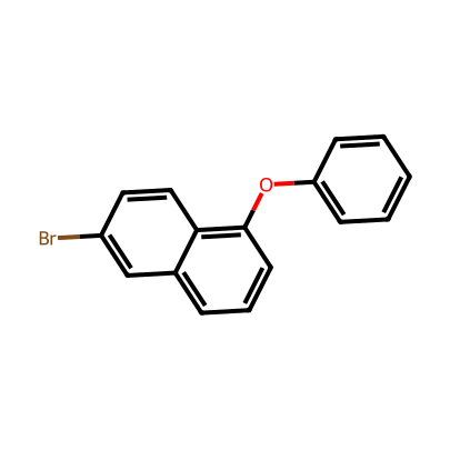 Brc1ccc2c(Oc3ccccc3)cccc2c1